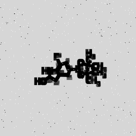 CC1(C)OB(c2cc(F)c3c(c2)CC(O)N3)OC1(C)C